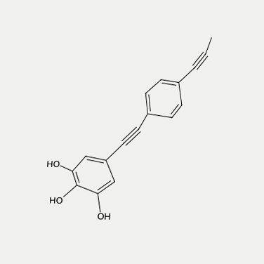 CC#Cc1ccc(C#Cc2cc(O)c(O)c(O)c2)cc1